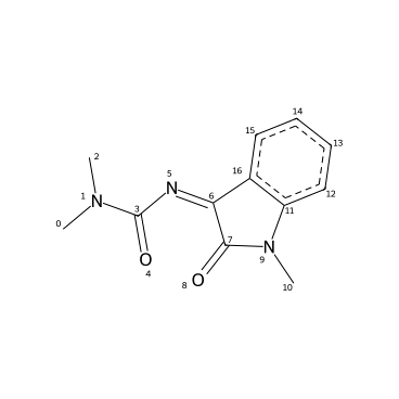 CN(C)C(=O)N=C1C(=O)N(C)c2ccccc21